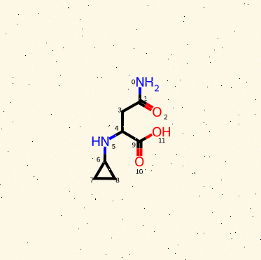 NC(=O)CC(NC1CC1)C(=O)O